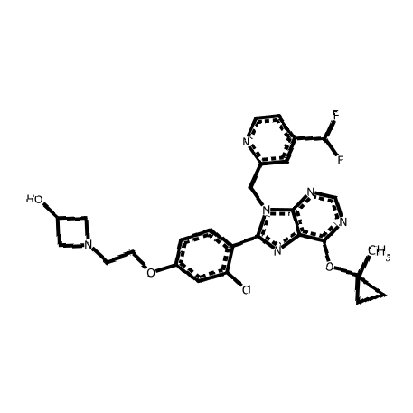 CC1(Oc2ncnc3c2nc(-c2ccc(OCCN4CC(O)C4)cc2Cl)n3Cc2cc(C(F)F)ccn2)CC1